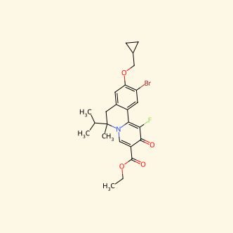 CCOC(=O)c1cn2c(c(F)c1=O)-c1cc(Br)c(OCC3CC3)cc1CC2(C)C(C)C